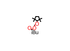 CCC(C)C(=O)OCOC1C(C)(C)CCC1(C)C